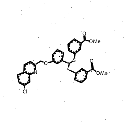 COC(=O)c1cccc(SC(Sc2cccc(C(=O)OC)c2)c2cccc(OCc3ccc4ccc(Cl)cc4n3)c2)c1